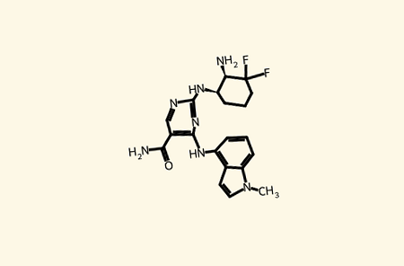 Cn1ccc2c(Nc3nc(N[C@@H]4CCCC(F)(F)[C@@H]4N)ncc3C(N)=O)cccc21